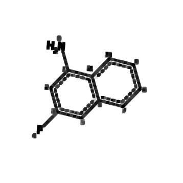 Nc1cc(F)cc2ccccc12